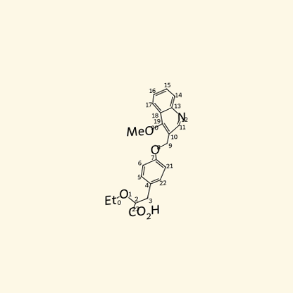 CCOC(Cc1ccc(OCc2cnc3ccccc3c2OC)cc1)C(=O)O